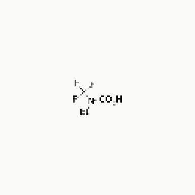 CCN(C(=O)O)C(F)(F)F